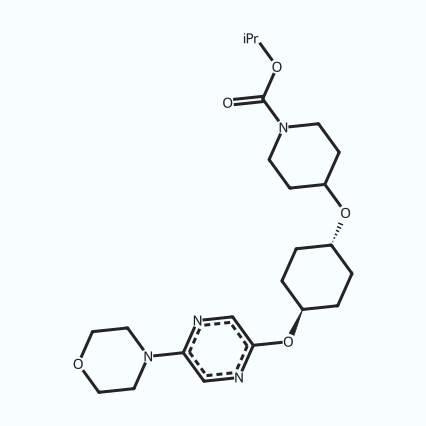 CC(C)OC(=O)N1CCC(O[C@H]2CC[C@H](Oc3cnc(N4CCOCC4)cn3)CC2)CC1